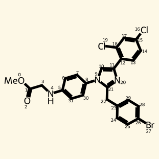 COC(=O)CNc1ccc(-n2cc(-c3ccc(Cl)cc3Cl)nc2Cc2ccc(Br)cc2)cc1